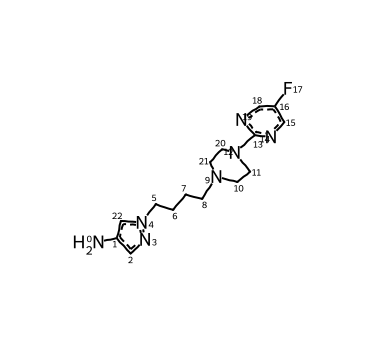 Nc1cnn(CCCCN2CCN(c3ncc(F)cn3)CC2)c1